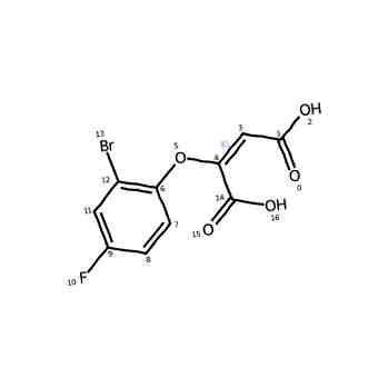 O=C(O)/C=C(/Oc1ccc(F)cc1Br)C(=O)O